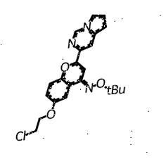 CC(C)(C)ON=c1cc(-c2cc3cccn3cn2)oc2ccc(OCCCl)cc12